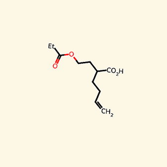 C=CCCC(CCOC(=O)CC)C(=O)O